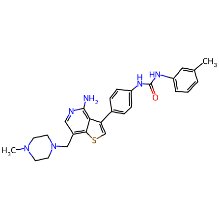 Cc1cccc(NC(=O)Nc2ccc(-c3csc4c(CN5CCN(C)CC5)cnc(N)c34)cc2)c1